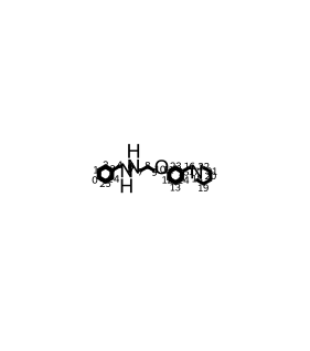 c1ccc(CNNCCCOc2cccc(CN3CCCCC3)c2)cc1